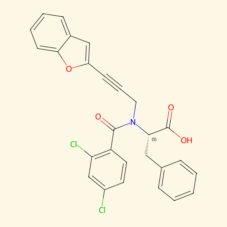 O=C(O)[C@H](Cc1ccccc1)N(CC#Cc1cc2ccccc2o1)C(=O)c1ccc(Cl)cc1Cl